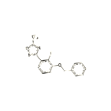 Fc1c(OCc2ccccc2)[c]ccc1-c1noc(C(F)(F)F)n1